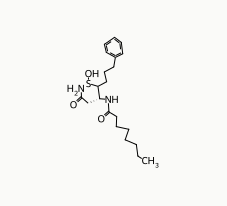 CCCCCCCC(=O)N[C@H](CC(N)=O)C(CCCc1ccccc1)SO